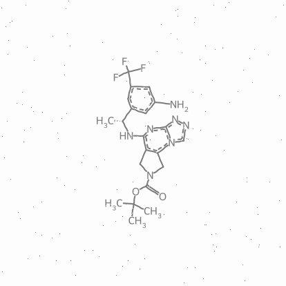 C[C@@H](Nc1nc2nncn2c2c1CN(C(=O)OC(C)(C)C)C2)c1cc(N)cc(C(F)(F)F)c1